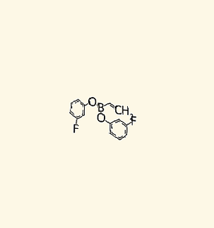 C=CB(Oc1cccc(F)c1)Oc1cccc(F)c1